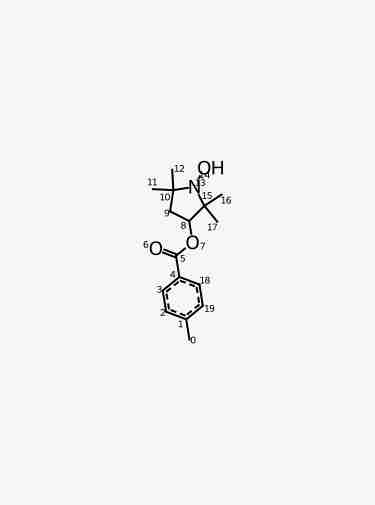 Cc1ccc(C(=O)OC2CC(C)(C)N(O)C2(C)C)cc1